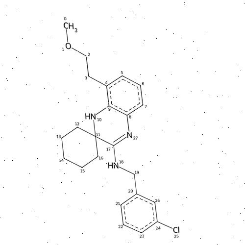 COCCc1cccc2c1NC1(CCCCC1)C(NCc1cccc(Cl)c1)=N2